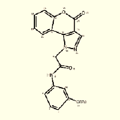 COc1cccc(NC(=O)Cn2ncc3c(=O)oc4ccccc4c32)c1